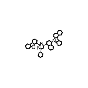 c1ccc(-c2cc(-c3ccc(-n4c5ccccc5c5c6ccccc6ccc54)c4ccccc34)nc(-c3cccc4c3oc3ccccc34)n2)cc1